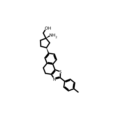 Cc1ccc(-c2nc3c(s2)-c2ccc([C@H]4CC[C@](N)(CO)C4)cc2CC3)cc1